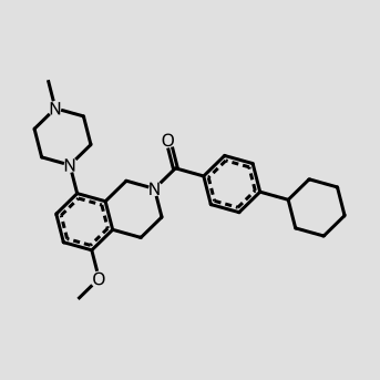 COc1ccc(N2CCN(C)CC2)c2c1CCN(C(=O)c1ccc(C3CCCCC3)cc1)C2